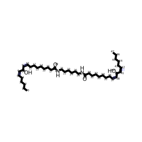 CCCCC/C=C\C(O)/C=C\CCCCCCCC(=O)NCCCCCCNC(=O)CCCCCCC/C=C\C(O)/C=C\CCCCC